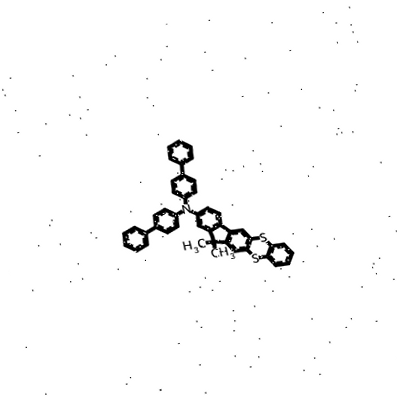 CC1(C)c2cc(N(c3ccc(-c4ccccc4)cc3)c3ccc(-c4ccccc4)cc3)ccc2-c2cc3c(cc21)Sc1ccccc1S3